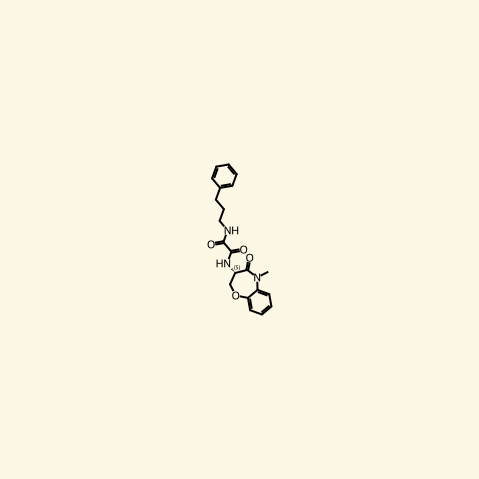 CN1C(=O)[C@@H](NC(=O)C(=O)NCCCc2ccccc2)COc2ccccc21